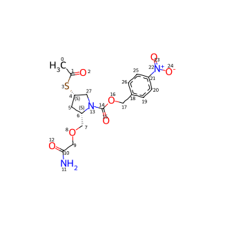 CC(=O)S[C@H]1C[C@@H](COCC(N)=O)N(C(=O)OCc2ccc([N+](=O)[O-])cc2)C1